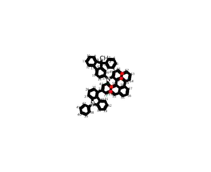 CC1(c2ccccc2)c2ccccc2-c2ccc(N(c3cccc(-c4cccc5c4c4ccccc4n5-c4ccccc4)c3)c3ccccc3-c3cccc4cccc(-c5ccccc5)c34)cc21